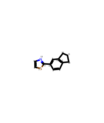 c1csc(-c2ccc3c(c2)CCC3)n1